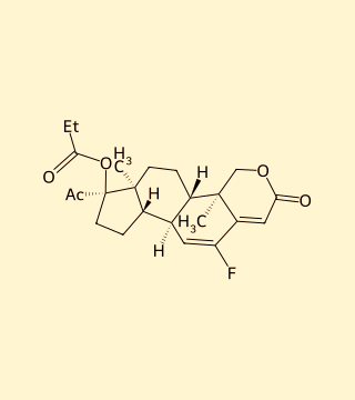 CCC(=O)O[C@]1(C(C)=O)CC[C@H]2[C@@H]3C=C(F)C4=CC(=O)OC[C@]4(C)[C@H]3CC[C@@]21C